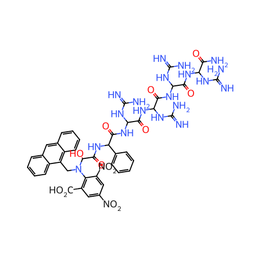 N=C(N)NC(NC(=O)C(NC(=N)N)NC(=O)C(NC(=N)N)NC(=O)C(NC(=N)N)NC(=O)C(NC(=O)C(O)N(Cc1c2ccccc2cc2ccccc12)c1c(C(=O)O)cc([N+](=O)[O-])cc1[N+](=O)[O-])c1ccccc1)C(N)=O